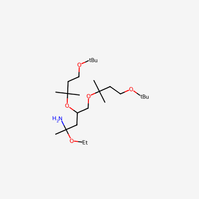 CCOC(C)(N)CC(COC(C)(C)CCOC(C)(C)C)OC(C)(C)CCOC(C)(C)C